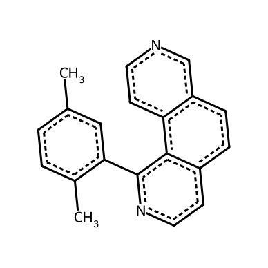 Cc1ccc(C)c(-c2nccc3ccc4cnccc4c23)c1